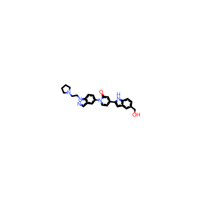 O=c1cc(-c2cc3cc(CO)ccc3[nH]2)ccn1-c1ccc2c(cnn2CCN2CCCC2)c1